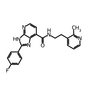 Cc1ncccc1CCNC(=O)c1ccnc2[nH]c(-c3ccc(F)cc3)nc12